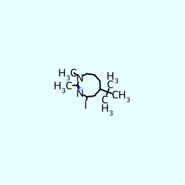 C/C1=N/C(I)CC(C(C)(C)C)CCCN1C